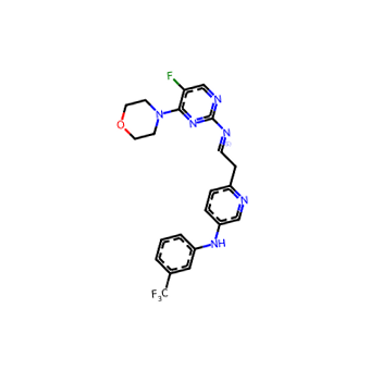 Fc1cnc(/N=C/Cc2ccc(Nc3cccc(C(F)(F)F)c3)cn2)nc1N1CCOCC1